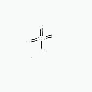 [O]=[Mn](=[O])(=[O])[OH].[Y]